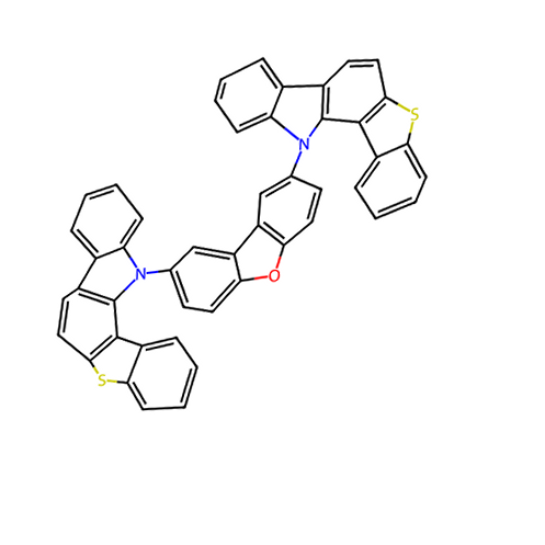 c1ccc2c(c1)sc1ccc3c4ccccc4n(-c4ccc5oc6ccc(-n7c8ccccc8c8ccc9sc%10ccccc%10c9c87)cc6c5c4)c3c12